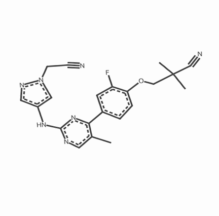 Cc1cnc(Nc2cnn(CC#N)c2)nc1-c1ccc(OCC(C)(C)C#N)c(F)c1